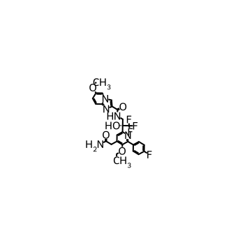 CCOc1c(CC(N)=O)cc([C@@](O)(CNC(=O)c2cn3cc(OC)ccc3n2)C(F)(F)F)nc1-c1ccc(F)cc1